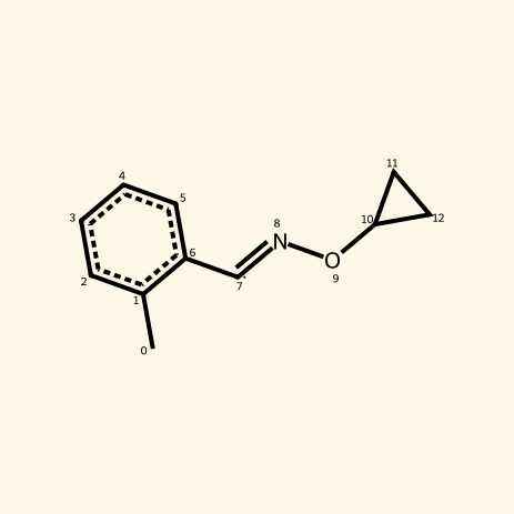 Cc1ccccc1/[C]=N/OC1CC1